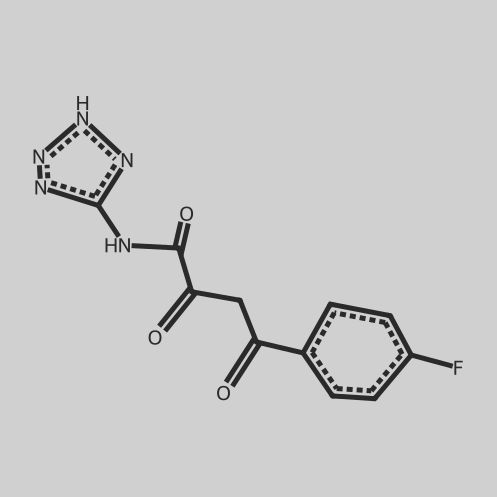 O=C(CC(=O)c1ccc(F)cc1)C(=O)Nc1nn[nH]n1